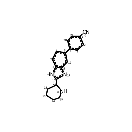 N#Cc1ccc(-c2ccc3[nH]c([C@@H]4CCCCN4)nc3c2)cc1